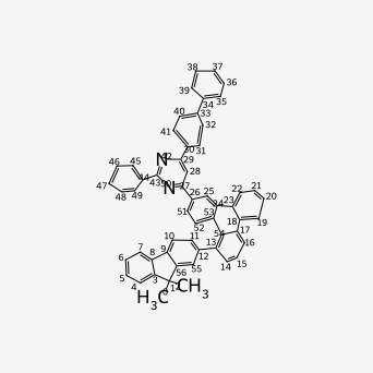 CC1(C)c2ccccc2-c2ccc(-c3cccc4c5ccccc5c5cc(-c6cc(-c7ccc(-c8ccccc8)cc7)nc(-c7ccccc7)n6)ccc5c34)cc21